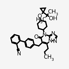 CCCc1c(Cc2ccc(-c3ccccc3C#N)cc2)c(=O)n(C2CCC(OC3(C(C)(C)O)CC3)CC2)c2ncnn12